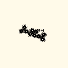 Oc1ccc(C2(c3ccccc3)c3cc(-c4ccc(N(c5ccccc5)c5ccccc5)cc4)ccc3C3C=CC(c4ccc(N(c5ccccc5)c5ccccc5)cc4)=CC32)cc1